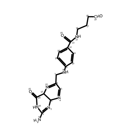 NC1=NC2N=CC(CNc3ccc(C(=O)NCCCC=O)cc3)=NC2C(=O)N1